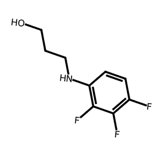 OCCCNc1ccc(F)c(F)c1F